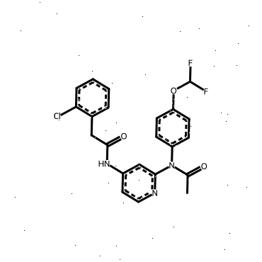 CC(=O)N(c1ccc(OC(F)F)cc1)c1cc(NC(=O)Cc2ccccc2Cl)ccn1